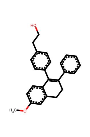 COc1ccc2c(c1)CCC(c1ccccc1)=C2c1ccc(CCO)cc1